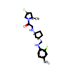 N#C[C@@H]1C[C@H](F)CN1C(=O)CN[C@@H]1CC[C@H](CNc2ccc([N+](=O)[O-])cc2F)C1